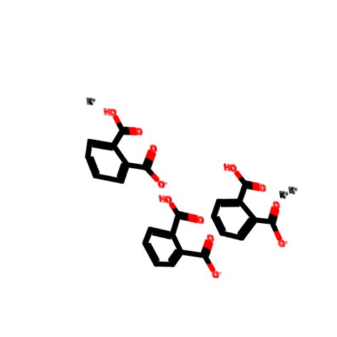 O=C([O-])c1ccccc1C(=O)O.O=C([O-])c1ccccc1C(=O)O.O=C([O-])c1ccccc1C(=O)O.[K+].[K+].[K+]